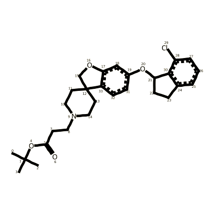 CC(C)(C)OC(=O)CCN1CCC2(CC1)COc1cc(OC3CCc4cccc(Cl)c43)ccc12